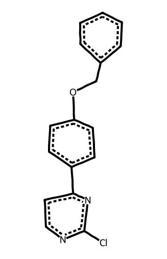 Clc1nccc(-c2ccc(OCc3ccccc3)cc2)n1